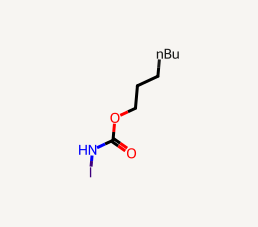 CCCCCCCOC(=O)NI